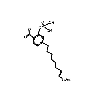 CCCCCCCCCCC=CCCCCCCc1ccc(I(=O)=O)c(OP(=O)(O)O)c1